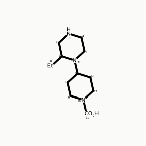 CCC1CNCCN1C1CCN(C(=O)O)CC1